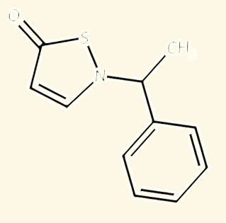 CC(c1ccccc1)n1ccc(=O)s1